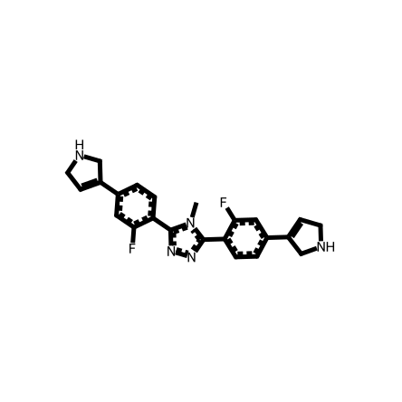 Cn1c(-c2ccc(C3=CCNC3)cc2F)nnc1-c1ccc(C2=CCNC2)cc1F